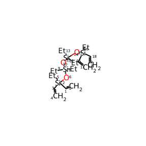 C=C[Si](C=C)(CC)O[Si](CC)(CC)O[Si](CC)(CC)O[Si](C=C)(C=C)CC